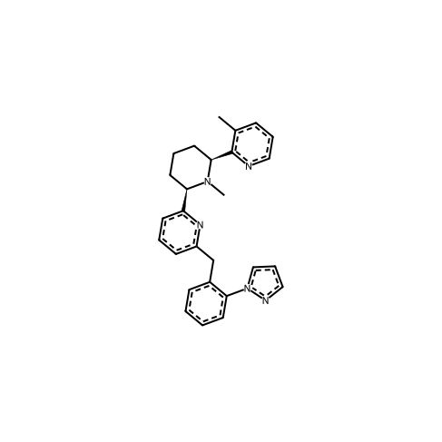 Cc1cccnc1[C@@H]1CCC[C@H](c2cccc(Cc3ccccc3-n3cccn3)n2)N1C